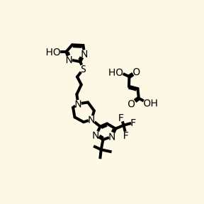 CC(C)(C)c1nc(N2CCCN(CCCSc3nccc(O)n3)CC2)cc(C(F)(F)F)n1.O=C(O)C=CC(=O)O